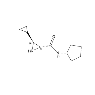 O=C(NC1CCCC1)[C@@H]1N[C@H]1C1CC1